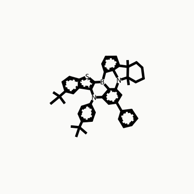 CC(C)(C)c1ccc(N2c3cc(-c4ccccc4)cc4c3B(c3cccc5c3N4C3(C)CCCCC53C)c3sc4ccc(C(C)(C)C)cc4c32)cc1